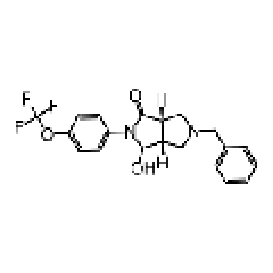 O=C1[C@@H]2CN(Cc3ccccc3)C[C@@H]2C(O)N1c1ccc(OC(F)(F)F)cc1